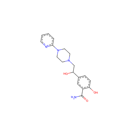 NC(=O)c1cc(C(O)CN2CCN(c3ccccn3)CC2)ccc1O